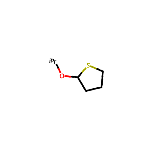 CC(C)OC1CCCS1